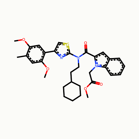 COC(=O)Cn1c(C(=O)N(CCC2CCCCC2)c2nc(-c3cc(OC)c(C)cc3OC)cs2)cc2ccccc21